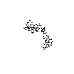 Cc1ccc(-c2ncc(-c3ccc4[nH]c([C@@H]5CCCN5C(=O)[C@@H](c5ccccc5)N(C)C)nc4c3)o2)cc1NC(=O)[C@@H]1CCCN1C(=O)[C@H](NC(=O)O)c1ccccc1